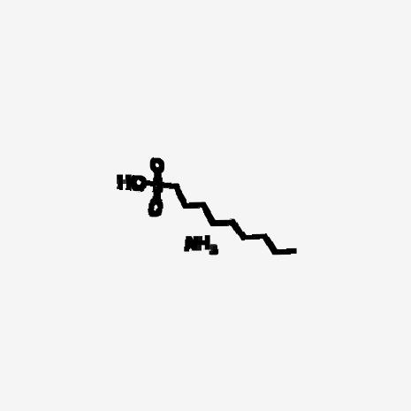 CCCCCCCCCS(=O)(=O)O.N